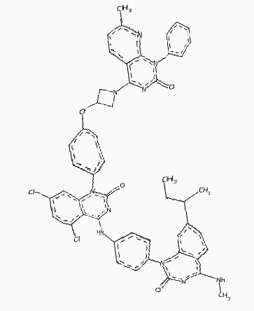 CCC(C)c1ccc2c(NC)nc(=O)n(-c3ccc(Nc4nc(=O)n(-c5ccc(OC6CN(c7nc(=O)n(-c8ccccc8)c8nc(C)ccc78)C6)cc5)c5cc(Cl)cc(Cl)c45)cc3)c2c1